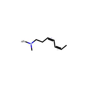 C/C=C\C=C/CCN(C)CCC